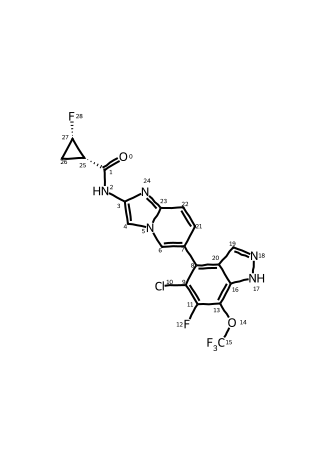 O=C(Nc1cn2cc(-c3c(Cl)c(F)c(OC(F)(F)F)c4[nH]ncc34)ccc2n1)[C@@H]1C[C@@H]1F